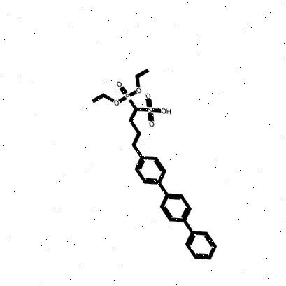 CCOP(=O)(OCC)C(CCCc1ccc(-c2ccc(-c3ccccc3)cc2)cc1)S(=O)(=O)O